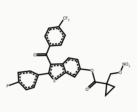 O=C(c1ccc(C(F)(F)F)cc1)c1c(-c2ccc(F)cc2)sc2cc(OC(=O)C3(CO[N+](=O)[O-])CC3)ccc12